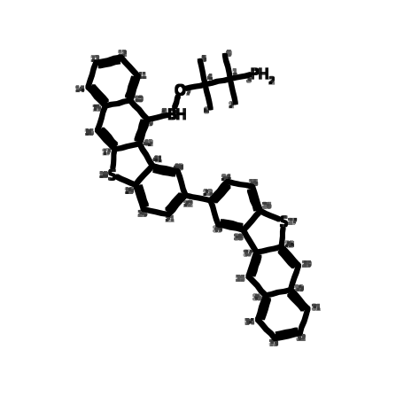 CC(C)(P)C(C)(C)OBc1c2ccccc2cc2sc3ccc(-c4ccc5sc6cc7ccccc7cc6c5c4)cc3c12